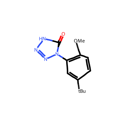 COc1ccc(C(C)(C)C)cc1-n1nn[nH]c1=O